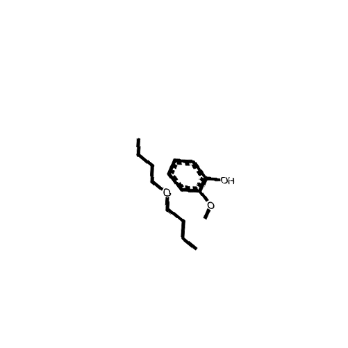 CCCCOCCCC.COc1ccccc1O